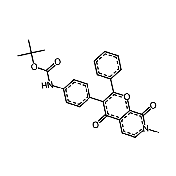 Cn1ccc2c(=O)c(-c3ccc(NC(=O)OC(C)(C)C)cc3)c(-c3ccccc3)oc2c1=O